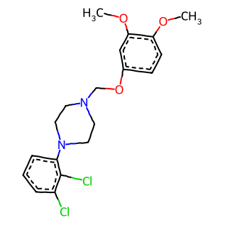 COc1ccc(OCN2CCN(c3cccc(Cl)c3Cl)CC2)cc1OC